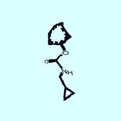 O=C(NCC1CC1)Oc1ccccc1